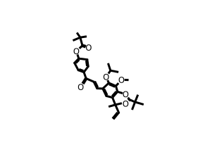 C=CC(C)(C)c1cc(C=CC(=O)c2ccc(OC(=O)C(C)(C)C)cc2)c(OC(C)C)c(OC)c1OC(=O)C(C)(C)C